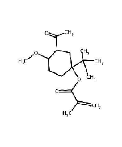 C=C(C)C(=O)OC1(C(C)(C)C)CCC(OC)C(C(C)=O)C1